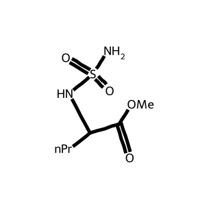 CCCC(NS(N)(=O)=O)C(=O)OC